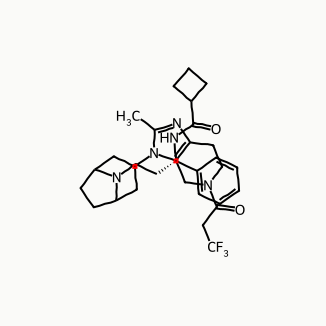 Cc1nc2c(n1C1CC3CCC(C1)N3CC[C@H](NC(=O)C1CCC1)c1ccccc1)CN(C(=O)CC(F)(F)F)CC2